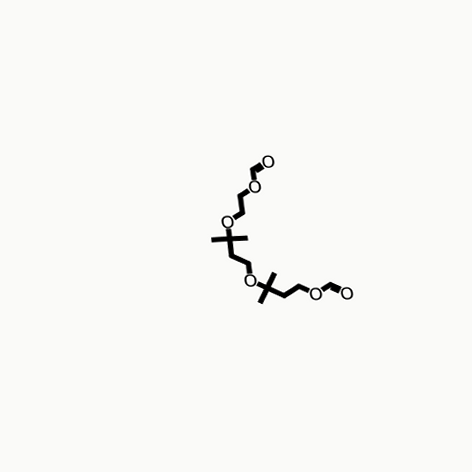 CC(C)(CCOC=O)OCCC(C)(C)OCCOC=O